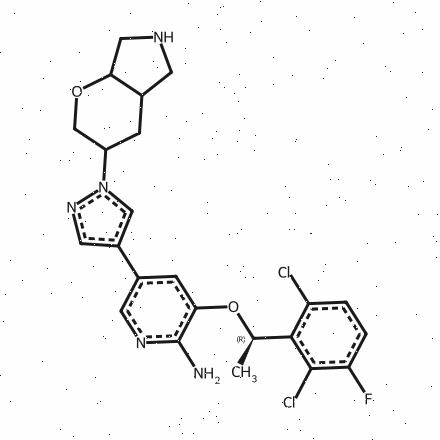 C[C@@H](Oc1cc(-c2cnn(C3COC4CNCC4C3)c2)cnc1N)c1c(Cl)ccc(F)c1Cl